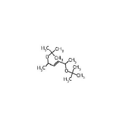 CC(C=CC(C)OC(C)(C)C)OC(C)(C)C